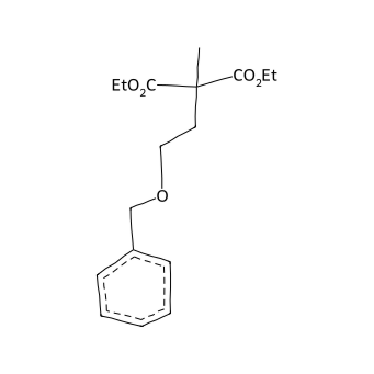 CCOC(=O)C(C)(CCOCc1ccccc1)C(=O)OCC